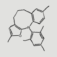 Cc1cc(C)c(N2c3ccc(C)cc3CCCc3cc(C)oc32)c(C)c1